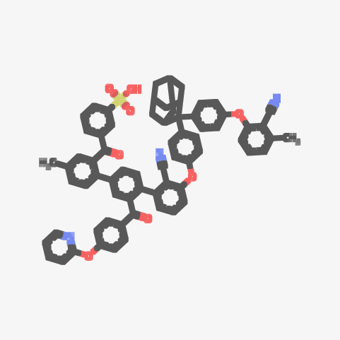 Cc1ccc(-c2ccc(-c3cccc(Oc4ccc(C5(c6ccc(Oc7cccc(C)c7C#N)cc6)C6CC7CC(C6)CC5C7)cc4)c3C#N)c(C(=O)c3ccc(Oc4ccccn4)cc3)c2)c(C(=O)c2cccc(S(=O)(=O)O)c2)c1